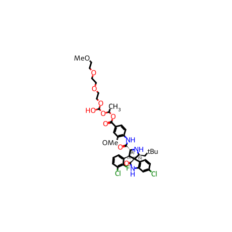 COCCOCCOCCOC(O)OC(C)OC(=O)c1ccc(NC(=O)[C@@H]2N[C@@H](CC(C)(C)C)[C@@]3(C(=O)Nc4cc(Cl)ccc43)[C@H]2c2cccc(Cl)c2F)c(OC)c1